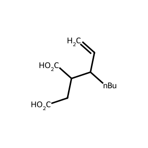 C=CC(CCCC)C(CC(=O)O)C(=O)O